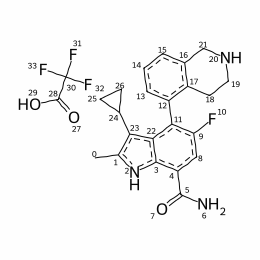 Cc1[nH]c2c(C(N)=O)cc(F)c(-c3cccc4c3CCNC4)c2c1C1CC1.O=C(O)C(F)(F)F